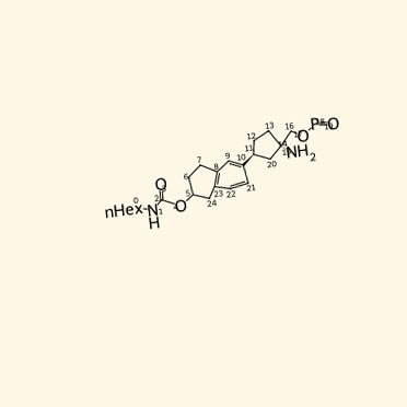 CCCCCCNC(=O)OC1CCc2cc([C@H]3CC[C@@](N)(COP=O)C3)ccc2C1